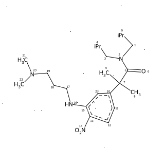 CC(C)CN(CC(C)C)C(=O)C(C)(C)c1ccc([N+](=O)[O-])c(NCCCN(C)C)c1